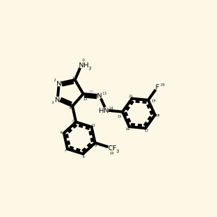 NC1=NN=C(c2cccc(C(F)(F)F)c2)/C1=N\Nc1cccc(F)c1